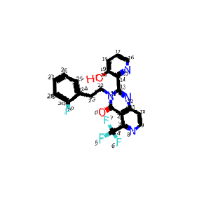 O=c1c2c(C(F)(F)F)nccc2nc(-c2ncccc2O)n1CCc1ccccc1F